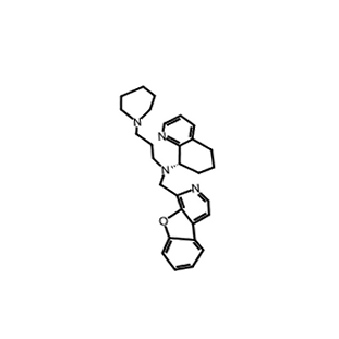 c1cnc2c(c1)CCC[C@@H]2N(CCCN1CCCCC1)Cc1nccc2c1oc1ccccc12